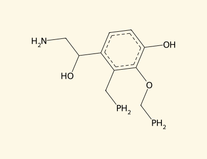 NCC(O)c1ccc(O)c(OCP)c1CP